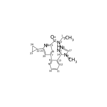 CCNC(=O)c1cc(-c2ccccc2-c2nncn2C)cc(C2CC2)n1